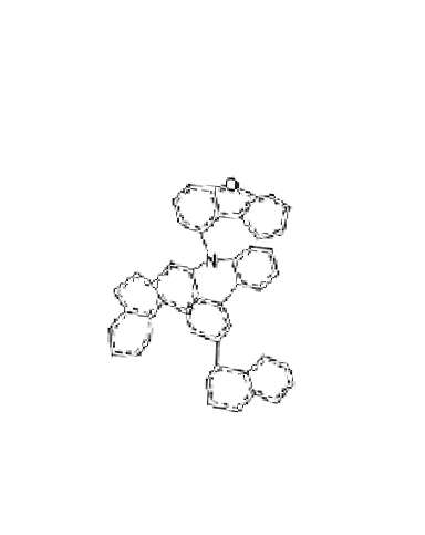 c1cc(-c2ccccc2N(c2ccc3c(ccc4ccccc43)c2)c2cccc3oc4ccccc4c23)cc(-c2cccc3ccccc23)c1